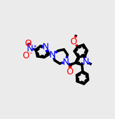 COc1ccc2c(c1)c(C(=O)N1CCCN(c3ccc([N+](=O)[O-])cn3)CC1)c(-c1ccccc1)n2C